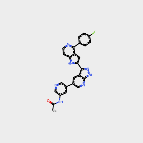 CCCCC(=O)Nc1cncc(-c2cnc3[nH]nc(-c4cc5c(-c6ccc(F)cc6)nccc5[nH]4)c3c2)c1